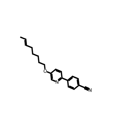 CC=CCCCCCOc1ccc(-c2ccc(C#N)cc2)nc1